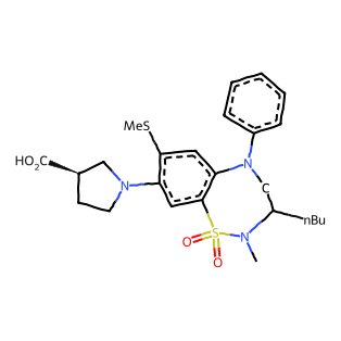 CCCCC1CN(c2ccccc2)c2cc(SC)c(N3CC[C@@H](C(=O)O)C3)cc2S(=O)(=O)N1C